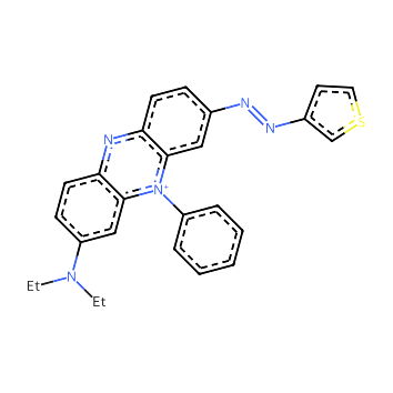 CCN(CC)c1ccc2nc3ccc(N=Nc4ccsc4)cc3[n+](-c3ccccc3)c2c1